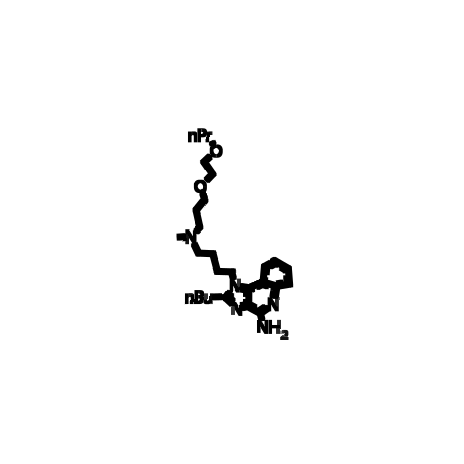 CCCCc1nc2c(N)nc3ccccc3c2n1CCCCN(C)CCCOCCOCCC